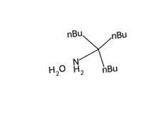 CCCCC(N)(CCCC)CCCC.O